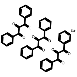 O=C(C(=O)c1ccccc1)C(=O)c1ccccc1.O=C(C(=O)c1ccccc1)C(=O)c1ccccc1.O=C(C(=O)c1ccccc1)C(=O)c1ccccc1.[Eu]